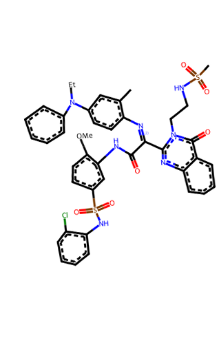 CCN(c1ccccc1)c1ccc(/N=C(\C(=O)Nc2cc(S(=O)(=O)Nc3ccccc3Cl)ccc2OC)c2nc3ccccc3c(=O)n2CCNS(C)(=O)=O)c(C)c1